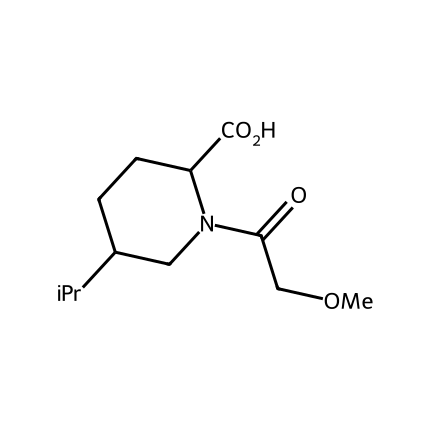 COCC(=O)N1CC(C(C)C)CCC1C(=O)O